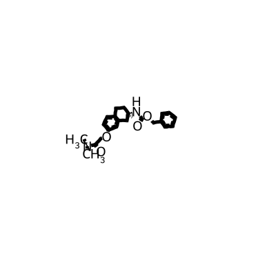 CN(C)C(=O)COc1ccc2c(c1)C[C@@H](NC(=O)OCc1ccccc1)CC2